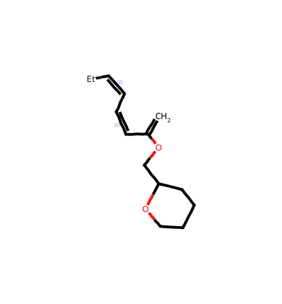 C=C(/C=C\C=C/CC)OCC1CCCCO1